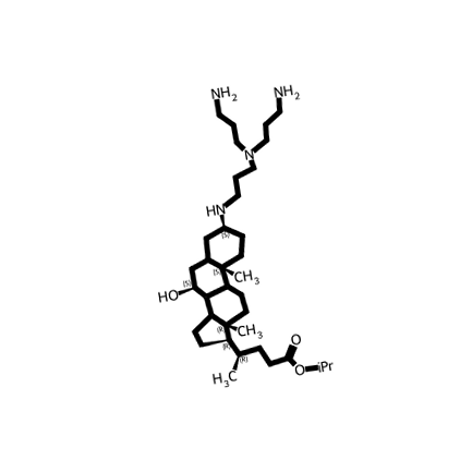 CC(C)OC(=O)CC[C@@H](C)[C@H]1CCC2C3C(CC[C@@]21C)[C@@]1(C)CC[C@H](NCCCN(CCCN)CCCN)CC1C[C@@H]3O